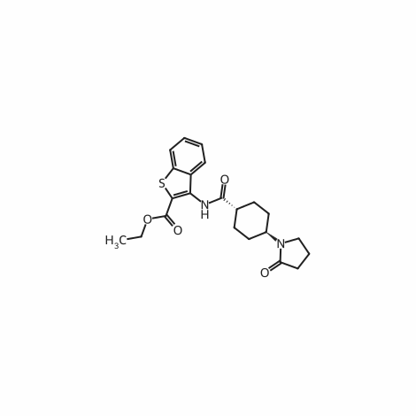 CCOC(=O)c1sc2ccccc2c1NC(=O)[C@H]1CC[C@H](N2CCCC2=O)CC1